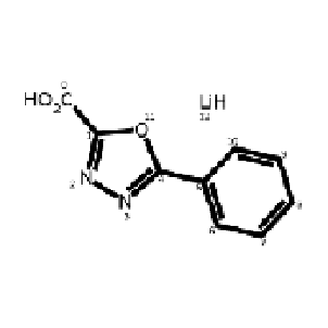 O=C(O)c1nnc(-c2ccccc2)o1.[LiH]